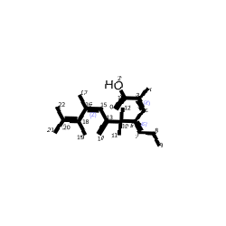 C=C(O)/C(C)=C\C(=C/CC)C(C)(C)C(=C)/C=C(/C)C(C)=C(C)C